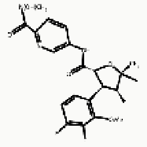 COc1c([C@H]2[C@H](C(=O)Nc3ccc(C(=O)N(C)O)nc3)O[C@@](C)(C(F)(F)F)[C@H]2C)ccc(F)c1F